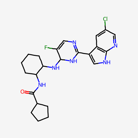 O=C(NC1CCCCC1NC1NC(c2c[nH]c3ncc(Cl)cc23)=NC=C1F)C1CCCC1